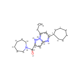 CCc1cc(C2CCCCCC2)nc2cc(C(=O)N3CCCCCC3)nn12